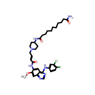 COc1cc2ncnc(Nc3ccc(F)c(Cl)c3)c2cc1NC(=O)/C=C/CN1CCC(NC(=O)CCCCCCCCCC(N)=O)CC1